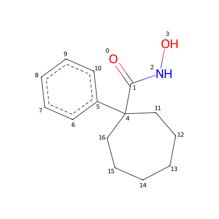 O=C(NO)C1(c2ccccc2)CCCCCC1